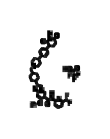 CC(C)Oc1cc2nc(C3CCC(CN4CCC(c5ccc(C6CCC(=O)NC6=O)cc5)CC4)CC3)cn2cc1C(=O)Nc1cccc(C(F)F)n1.O=C(O)C(F)(F)F